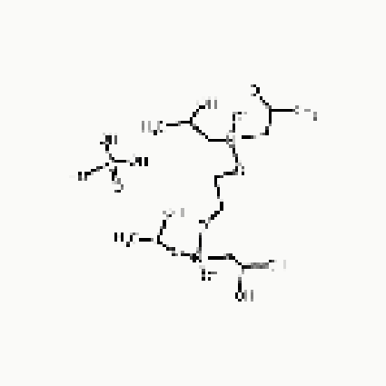 CC(O)C[N+]([O-])(CC(C)O)OCCO[N+]([O-])(CC(C)O)CC(C)O.O=P(O)(O)O